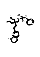 CCC(NCC(CCF)(CCF)CCc1ccc2c(n1)NCCC2)(Nc1ccncn1)C(=O)O